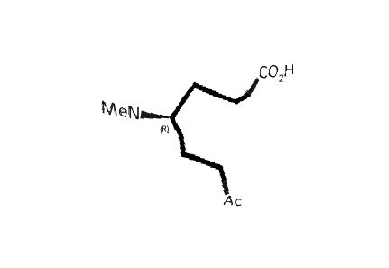 CN[C@H](CCC(C)=O)CCC(=O)O